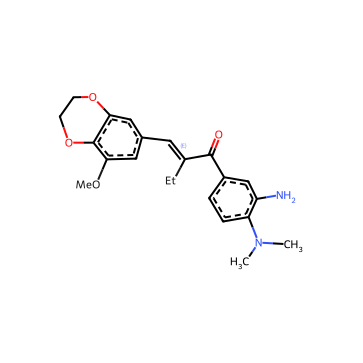 CC/C(=C\c1cc(OC)c2c(c1)OCCO2)C(=O)c1ccc(N(C)C)c(N)c1